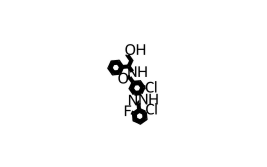 O=C(NC(CCO)c1ccccc1)c1cc(Cl)c2[nH]c(-c3c(F)cccc3Cl)nc2c1